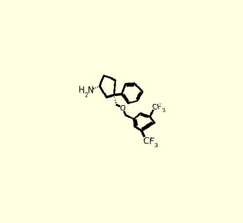 N[C@@H]1CC[C@@](COCc2cc(C(F)(F)F)cc(C(F)(F)F)c2)(c2ccccc2)C1